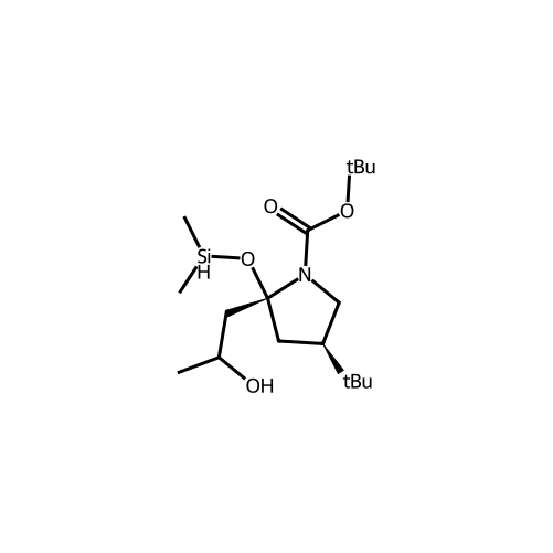 CC(O)C[C@]1(O[SiH](C)C)C[C@H](C(C)(C)C)CN1C(=O)OC(C)(C)C